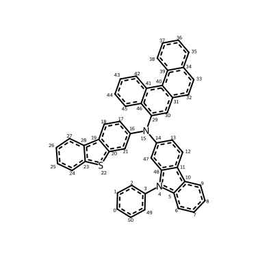 c1ccc(-n2c3ccccc3c3ccc(N(c4ccc5c(c4)sc4ccccc45)c4cc5ccc6ccccc6c5c5ccccc45)cc32)cc1